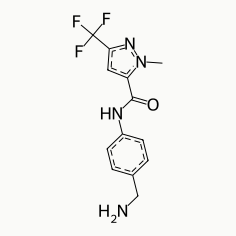 Cn1nc(C(F)(F)F)cc1C(=O)Nc1ccc(CN)cc1